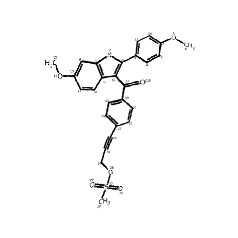 COc1ccc(-c2sc3cc(OC)ccc3c2C(=O)c2ccc(C#CCOS(C)(=O)=O)cc2)cc1